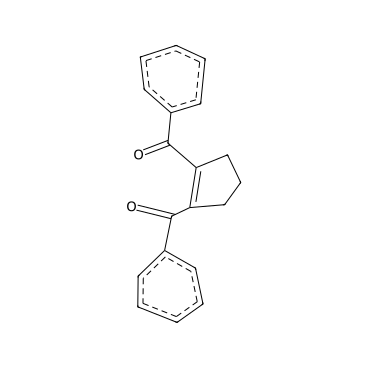 O=C(C1=C(C(=O)c2ccccc2)CCC1)c1ccccc1